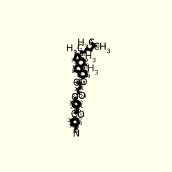 CC(C)CCCC(C)[C@H]1CCC2C3CC=C4C[C@@H](OC(=O)CCC(=O)Oc5ccc(C(=O)Oc6ccc(C#N)cc6)cc5)CC[C@]4(C)C3CC[C@@]21C